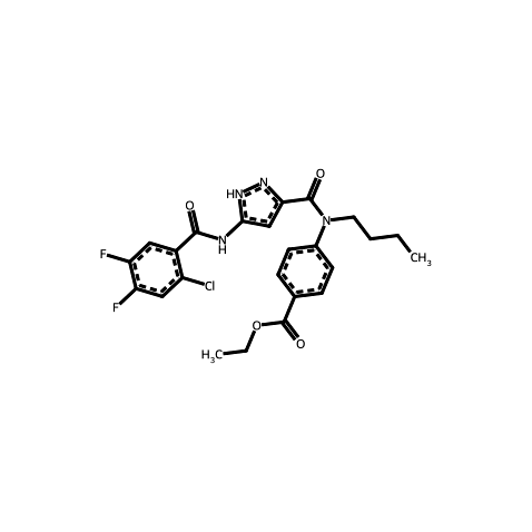 CCCCN(C(=O)c1cc(NC(=O)c2cc(F)c(F)cc2Cl)[nH]n1)c1ccc(C(=O)OCC)cc1